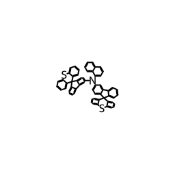 c1ccc2c(c1)Sc1ccccc1C21c2ccccc2-c2cc(N(c3ccc4c(c3)-c3ccccc3C43c4ccccc4Sc4ccccc43)c3cccc4ccccc34)ccc21